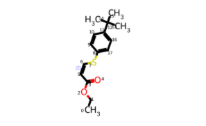 CCOC(=O)/C=C\Sc1ccc(C(C)(C)C)cc1